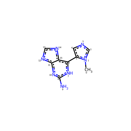 Cn1cncc1-c1[nH]c(N)nc2ncnc1-2